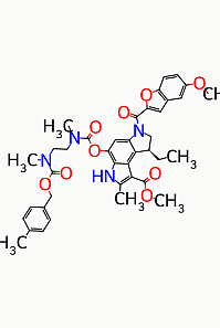 CC[C@@H]1CN(C(=O)c2cc3cc(OC)ccc3o2)c2cc(OC(=O)N(C)CCN(C)C(=O)OCc3ccc(C)cc3)c3[nH]c(C)c(C(=O)OC)c3c21